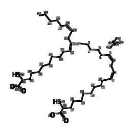 CCCCC/C=C\C/C=C\CCCCCCCCC(S)C(=O)[O-].CCCCC/C=C\C/C=C\CCCCCCCCC(S)C(=O)[O-].[CH3][Sn+2][CH3]